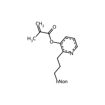 C=C(C)C(=O)Oc1cccnc1CCCCCCCCCCCC